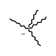 CCCCCCCC[N+](CCCCCCCC)(CCCCCCCC)CCCCCCCC.[OH-]